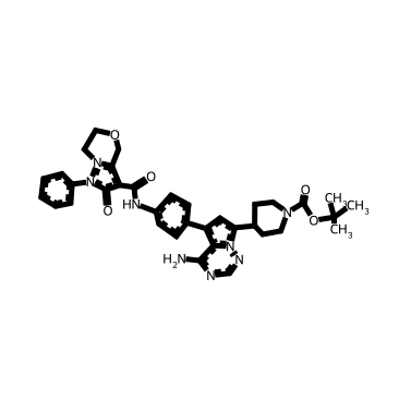 CC(C)(C)OC(=O)N1CCC(c2cc(-c3ccc(NC(=O)c4c5n(n(-c6ccccc6)c4=O)CCOC5)cc3)c3c(N)ncnn23)CC1